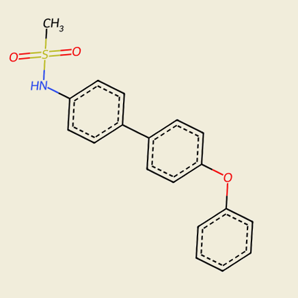 CS(=O)(=O)Nc1ccc(-c2ccc(Oc3ccccc3)cc2)cc1